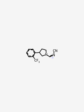 N#C/N=C\N1CCC(c2ccccc2C(F)(F)F)C1